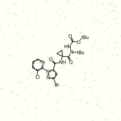 CC(C)(C)OC(=O)NN(C(=O)C1(NC(=O)c2cc(Br)nn2-c2ncccc2Cl)CC1)C(C)(C)C